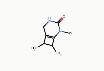 CC1C2=C(C1C)N(C(C)C)C(=O)NC2